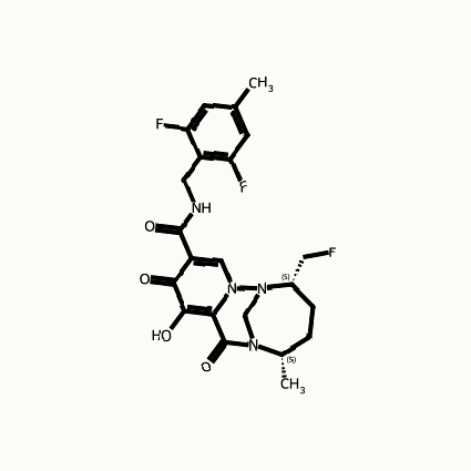 Cc1cc(F)c(CNC(=O)c2cn3c(c(O)c2=O)C(=O)N2CN3[C@H](CF)CC[C@@H]2C)c(F)c1